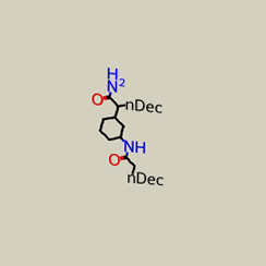 CCCCCCCCCCCC(=O)NC1CCCC(C(CCCCCCCCCC)C(N)=O)C1